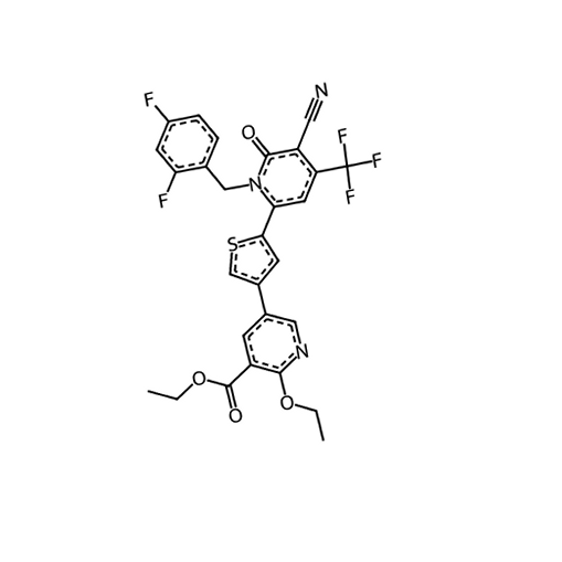 CCOC(=O)c1cc(-c2csc(-c3cc(C(F)(F)F)c(C#N)c(=O)n3Cc3ccc(F)cc3F)c2)cnc1OCC